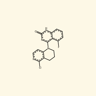 O=c1nc(N2CCCc3c2ccnc3Cl)c2c(F)cccc2[nH]1